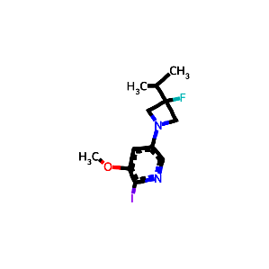 COc1cc(N2CC(F)(C(C)C)C2)cnc1I